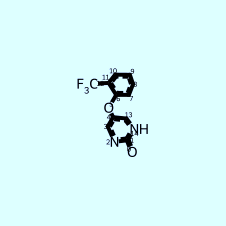 O=c1ncc(Oc2ccccc2C(F)(F)F)c[nH]1